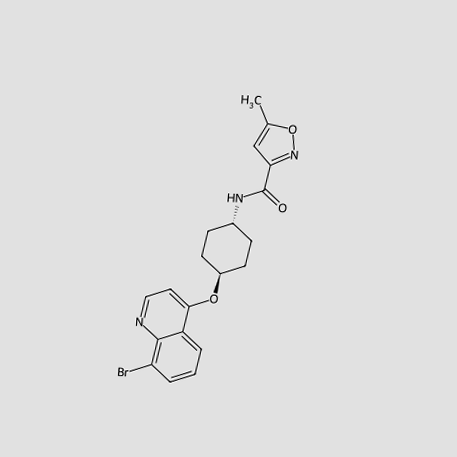 Cc1cc(C(=O)N[C@H]2CC[C@H](Oc3ccnc4c(Br)cccc34)CC2)no1